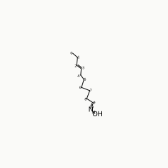 CCC=CCCCCCC=NO